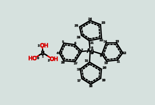 OB(O)O.c1cc[c]([Ag]([c]2ccccc2)([c]2ccccc2)[c]2ccccc2)cc1